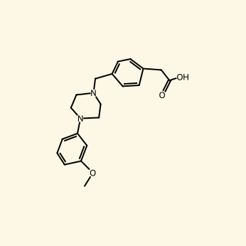 COc1cccc(N2CCN(Cc3ccc(CC(=O)O)cc3)CC2)c1